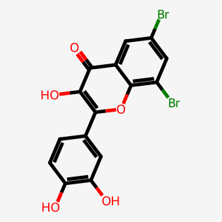 O=c1c(O)c(-c2ccc(O)c(O)c2)oc2c(Br)cc(Br)cc12